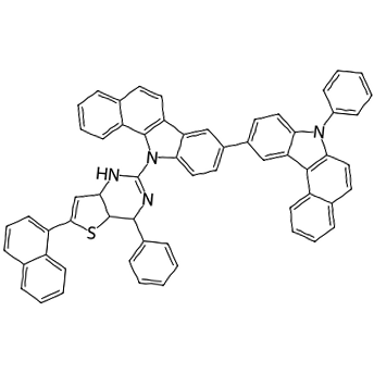 C1=C(c2cccc3ccccc23)SC2C1NC(n1c3ccc(-c4ccc5c(c4)c4c6ccccc6ccc4n5-c4ccccc4)cc3c3ccc4ccccc4c31)=NC2c1ccccc1